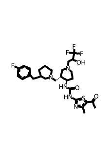 CC(=O)c1sc(NC(=O)N[C@@H]2CCN(CC(O)C(F)(F)F)C[C@H]2CN2CCCC(Cc3ccc(F)cc3)C2)nc1C